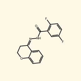 O=C(N/N=C1/CCOc2ccccc21)c1cc(F)ccc1F